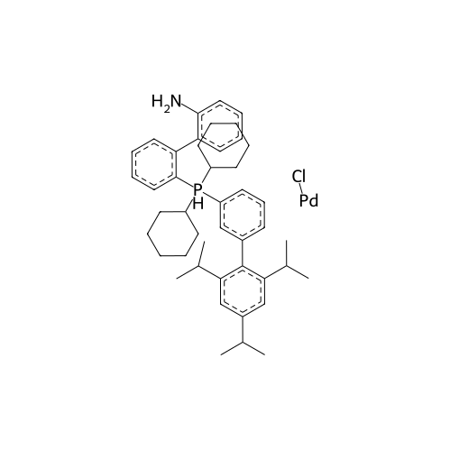 CC(C)c1cc(C(C)C)c(-c2cccc([PH](c3ccccc3-c3ccccc3N)(C3CCCCC3)C3CCCCC3)c2)c(C(C)C)c1.[Cl][Pd]